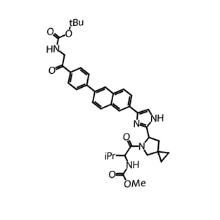 COC(=O)NC(C(=O)N1CC2(CC2)CC1c1nc(-c2ccc3cc(-c4ccc(C(=O)CNC(=O)OC(C)(C)C)cc4)ccc3c2)c[nH]1)C(C)C